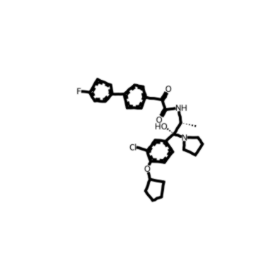 C[C@@H](NC(=O)C(=O)c1ccc(-c2ccc(F)cc2)cc1)[C@](O)(c1ccc(OC2CCCC2)c(Cl)c1)N1CCCC1